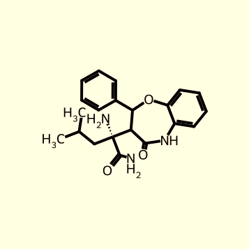 CC(C)C[C@](N)(C(N)=O)C1C(=O)Nc2ccccc2OC1c1ccccc1